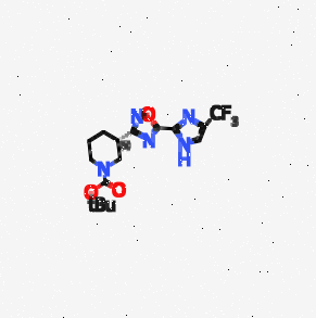 CC(C)(C)OC(=O)N1CCC[C@H](c2noc(-c3nc(C(F)(F)F)c[nH]3)n2)C1